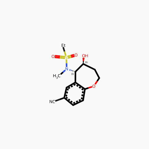 CCS(=O)(=O)N(C)[C@H]1c2cc(C#N)ccc2OCC[C@@H]1O